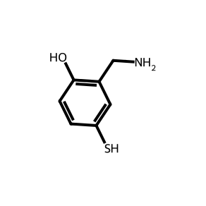 NCc1cc(S)ccc1O